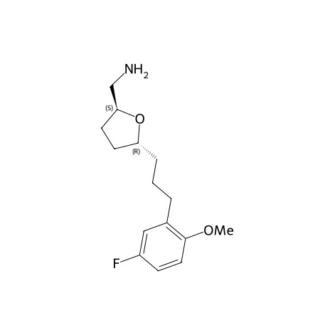 COc1ccc(F)cc1CCC[C@@H]1CC[C@@H](CN)O1